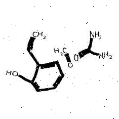 C=Cc1ccccc1O.C=O.NC(N)=O